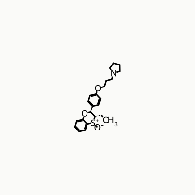 CC[C@H]1[C@H](c2ccc(OCCCN3CCCC3)cc2)Oc2ccccc2[S+]1[O-]